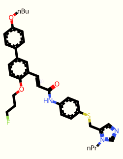 CCCCOc1ccc(-c2ccc(OCCCF)c(/C=C/C(=O)Nc3ccc(SCc4cncn4CCC)cc3)c2)cc1